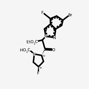 CCOC(=O)C(C(=O)[C@@H]1C[C@@H](F)CN1C(=O)O)n1cc2c(F)cc(Br)cc2n1